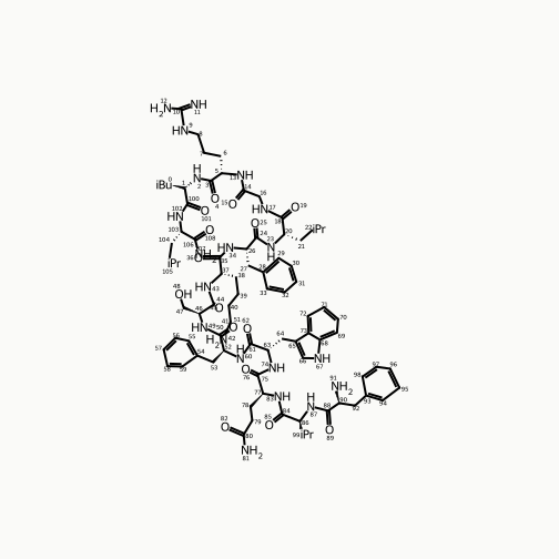 CC[C@H](C)[C@H](NC(=O)[C@H](CCCNC(=N)N)NC(=O)CNC(=O)[C@H](CC(C)C)NC(=O)[C@H](Cc1ccccc1)NC(=O)[C@H](CCCCN)NC(=O)[C@H](CO)NC(=O)[C@H](Cc1ccccc1)NC(=O)[C@H](Cc1c[nH]c2ccccc12)NC(=O)[C@H](CCC(N)=O)NC(=O)[C@@H](NC(=O)[C@@H](N)Cc1ccccc1)C(C)C)C(=O)N[C@@H](CC(C)C)C(N)=O